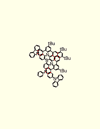 CC(C)(C)c1cc(-c2cc3c4c(c2)N(c2c(-c5ccccc5)cc(C(C)(C)C)cc2-c2ccccc2)c2cc(-n5c6ccccc6c6ccccc65)ccc2B4c2ccc(N(c4ccccc4)c4ccc(-n5c6ccccc6c6ccccc65)cc4)cc2N3c2c(-c3ccccc3)cc(C(C)(C)C)cc2-c2ccccc2)cc(C(C)(C)C)c1